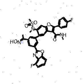 CNC(=O)c1c(-c2ccc(F)cc2)oc2cc(N(C)S(C)(=O)=O)c(-c3cc(/C(C)=N/O)cc(-c4nc5c(F)cccc5o4)c3)cc12